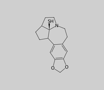 S[C@]12C3CCC1c1cc4c(cc1CCN2CC3)OCO4